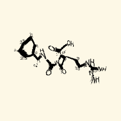 C[C@@H](NC(=O)N1C(=O)[C@H](CCNC(=N)N=N)[C@H]1C(=O)O)c1ccccc1